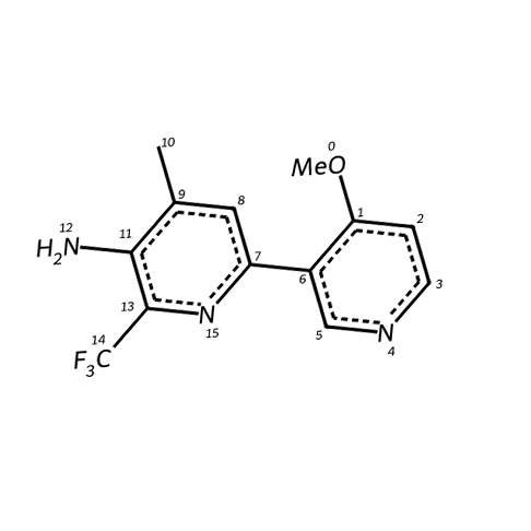 COc1ccncc1-c1cc(C)c(N)c(C(F)(F)F)n1